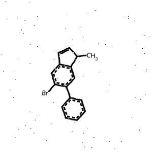 CC1C=Cc2cc(Br)c(-c3ccccc3)cc21